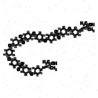 CC(C)(O)C#Cc1ccc(Oc2ccc(S(=O)(=O)c3ccc(Oc4ccc(Oc5ccc(S(=O)(=O)c6ccc(Oc7ccc(Oc8ccc(S(=O)(=O)c9ccc(Oc%10cccc(C#CC(C)(C)O)c%10)cc9)cc8)cc7)cc6)cc5)cc4)cc3)cc2)cc1